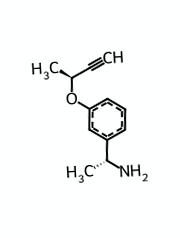 C#C[C@H](C)Oc1cccc([C@@H](C)N)c1